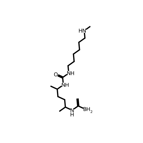 BC(=C)NC(C)CCC(C)NC(=O)NCCCCCCNC